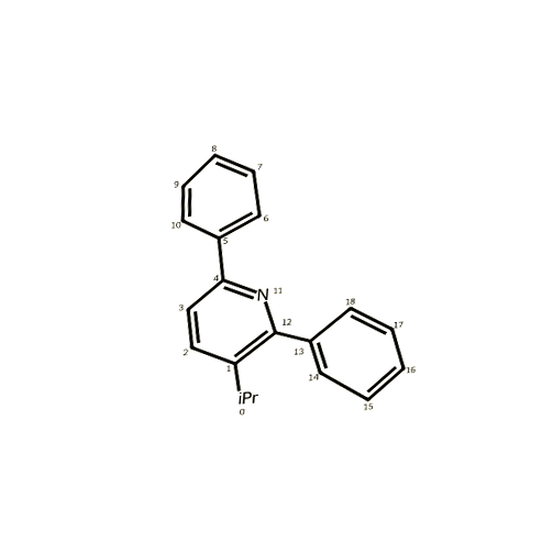 CC(C)c1ccc(-c2ccccc2)nc1-c1ccccc1